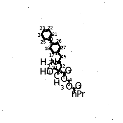 CCCC(=O)OCOC(=O)[C@](C)(CO)C[C@H](N)Cc1ccc(-c2ccccc2)cc1